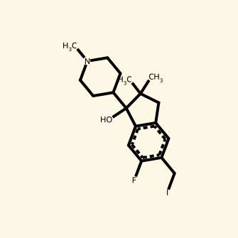 CN1CCC(C2(O)c3cc(F)c(CI)cc3CC2(C)C)CC1